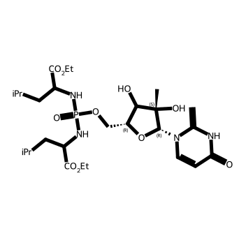 C=C1NC(=O)C=CN1[C@@H]1O[C@H](COP(=O)(NC(CC(C)C)C(=O)OCC)NC(CC(C)C)C(=O)OCC)C(O)[C@]1(C)O